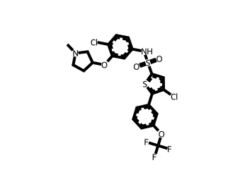 CN1CCC(Oc2cc(NS(=O)(=O)c3cc(Cl)c(-c4cccc(OC(F)(F)F)c4)s3)ccc2Cl)C1